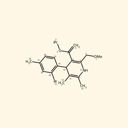 C=C(OC(C)C)C1=C(COC)NC(C)=C(C)C1c1ccc(C)cc1Br